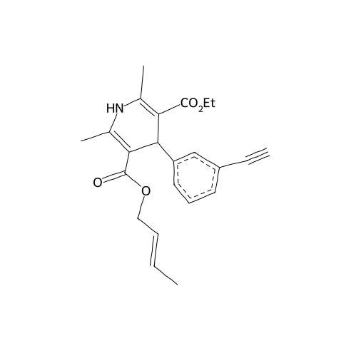 C#Cc1cccc(C2C(C(=O)OCC)=C(C)NC(C)=C2C(=O)OCC=CC)c1